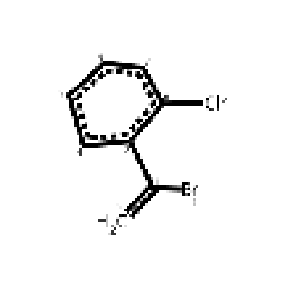 C=C(Br)c1ccccc1Cl